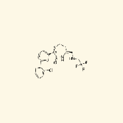 O=C1N[C@H](CNCC(F)(F)F)CCS[C@@H]1c1cccc(-c2ccccc2Cl)c1